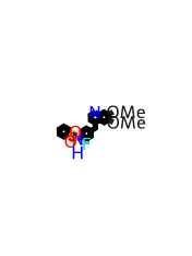 COc1cc2nccc(Cc3ccc(NS(=O)(=O)c4ccccc4)c(F)c3)c2cc1OC